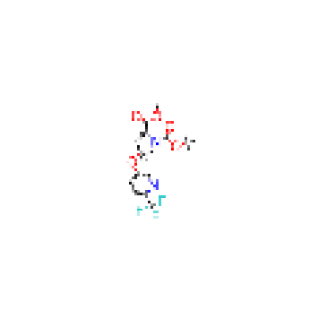 COC(=O)[C@@H]1C[C@H](Oc2ccc(C(F)(F)F)nc2)CN1C(=O)OC(C)(C)C